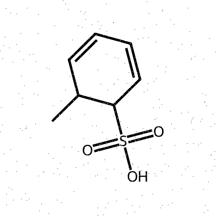 CC1C=CC=CC1S(=O)(=O)O